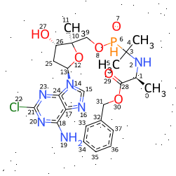 C[C@H](NC(C)(C)[PH](=O)OC[C@@]1(C)O[C@@H](n2cnc3c(N)nc(Cl)nc32)C[C@@H]1O)C(=O)OCc1ccccc1